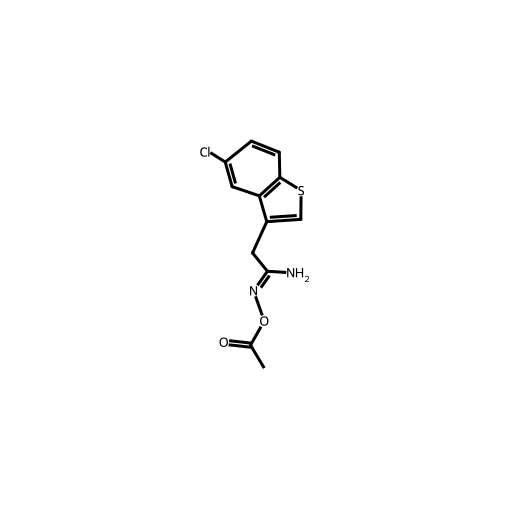 CC(=O)O/N=C(\N)Cc1csc2ccc(Cl)cc12